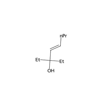 CCCC=CC(O)(CC)CC